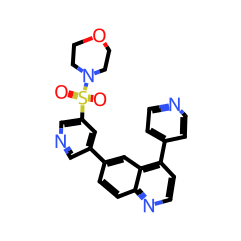 O=S(=O)(c1cncc(-c2ccc3nccc(-c4ccncc4)c3c2)c1)N1CCOCC1